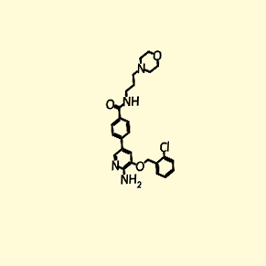 Nc1ncc(-c2ccc(C(=O)NCCCN3CCOCC3)cc2)cc1OCc1ccccc1Cl